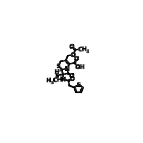 CS[C@@]1(NC(=O)Cc2cccs2)C(=O)N2C(C(=O)O)=C(COC(C)=O)CS[C@@H]21